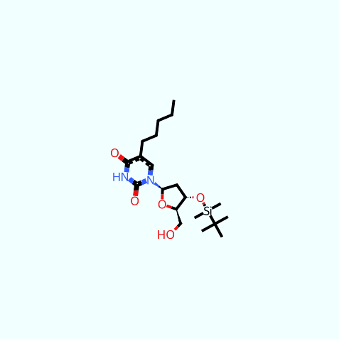 CCCCCc1cn([C@H]2C[C@H](O[Si](C)(C)C(C)(C)C)[C@@H](CO)O2)c(=O)[nH]c1=O